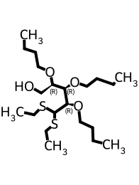 CCCCO[C@H]([C@@H](CO)OCCCC)[C@@H](OCCCC)C(SCC)SCC